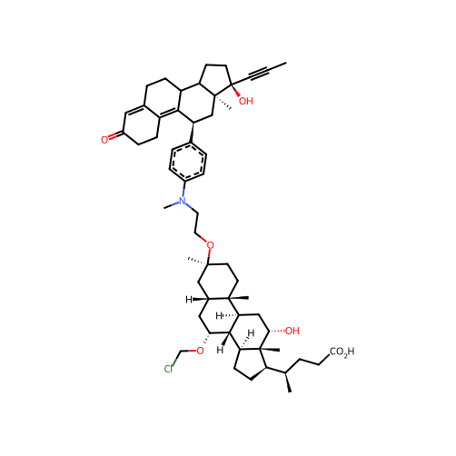 CC#C[C@@]1(O)CCC2C3CCC4=CC(=O)CCC4=C3[C@H](c3ccc(N(C)CCO[C@@]4(C)CC[C@@]5(C)[C@H](C[C@@H](OCCl)[C@@H]6[C@@H]5C[C@H](O)[C@]5(C)[C@@H]([C@H](C)CCC(=O)O)CC[C@@H]65)C4)cc3)C[C@@]21C